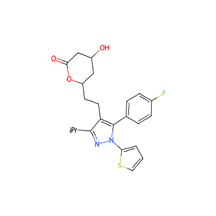 CC(C)c1nn(-c2cccs2)c(-c2ccc(F)cc2)c1CCC1CC(O)CC(=O)O1